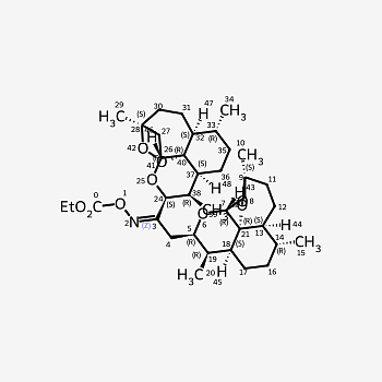 CCOC(=O)O/N=C(/C[C@H]1O[C@@H]2C[C@]3(C)CC[C@H]4[C@H](C)CC[C@@H]([C@H]1C)[C@@]24OO3)[C@H]1O[C@@H]2C[C@]3(C)CC[C@H]4[C@H](C)CC[C@@H]([C@H]1C)[C@@]24OO3